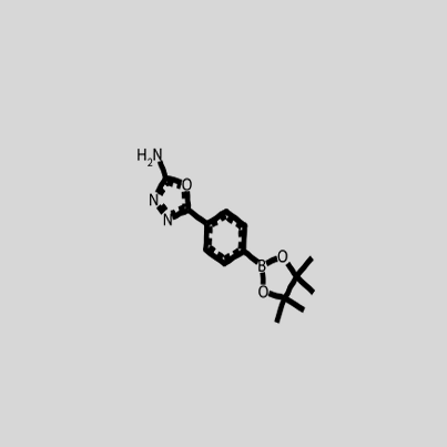 CC1(C)OB(c2ccc(-c3nnc(N)o3)cc2)OC1(C)C